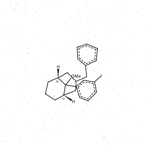 COC1(c2cccc(I)c2)[C@@H]2CCC[C@H]1CN(Cc1ccccc1)C2